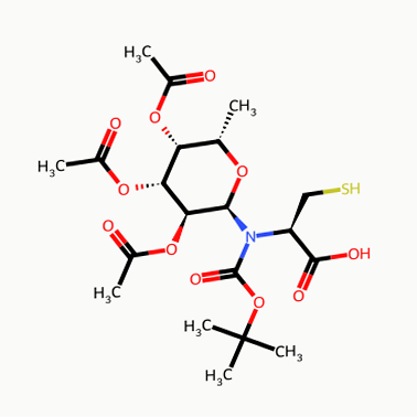 CC(=O)O[C@@H]1[C@H](OC(C)=O)[C@H](C)O[C@@H](N(C(=O)OC(C)(C)C)[C@@H](CS)C(=O)O)[C@H]1OC(C)=O